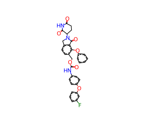 O=C1CCC(N2Cc3ccc(COC(=O)Nc4ccc(Oc5cccc(F)c5)cc4)c(Oc4ccccc4)c3C2=O)C(=O)N1